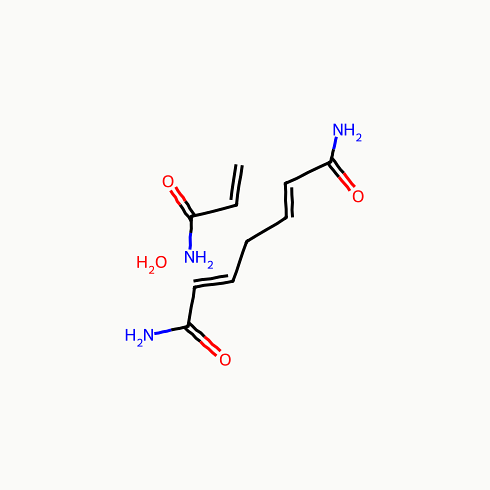 C=CC(N)=O.NC(=O)C=CCC=CC(N)=O.O